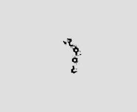 C=CC(=O)N1CCCC1CC(=O)Nc1cc2c(Nc3ccc(OCc4ccccn4)c(Cl)c3)ncnc2cc1OC